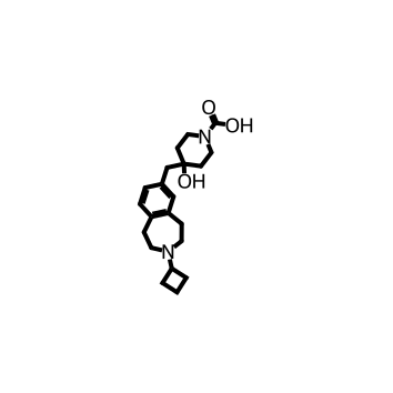 O=C(O)N1CCC(O)(Cc2ccc3c(c2)CCN(C2CCC2)CC3)CC1